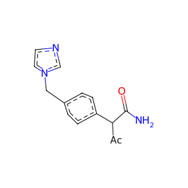 CC(=O)C(C(N)=O)c1ccc(Cn2ccnc2)cc1